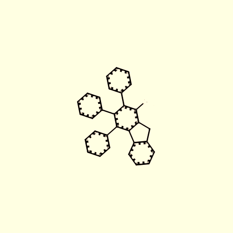 Nc1c2c(c(-c3ccccc3)c(-c3ccccc3)c1-c1ccccc1)-c1ccccc1C2